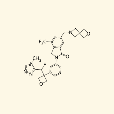 Cn1cnnc1C(F)C1(c2cccc(N3Cc4c(cc(CN5CC6(COC6)C5)cc4C(F)(F)F)C3=O)c2)COC1